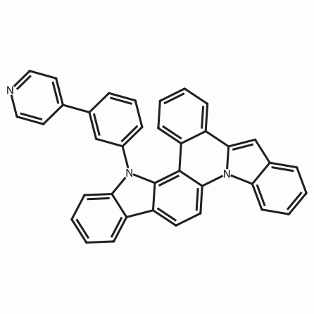 c1cc(-c2ccncc2)cc(-n2c3ccccc3c3ccc4c(c5ccccc5c5cc6ccccc6n54)c32)c1